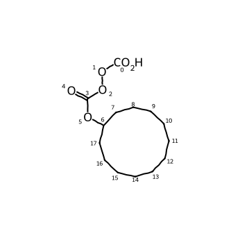 O=C(O)OOC(=O)OC1CCCCCCCCCCC1